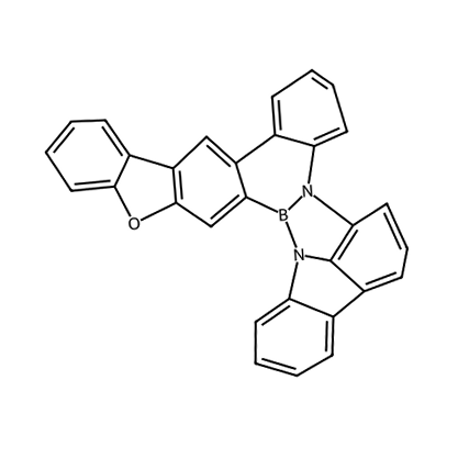 c1ccc2c(c1)-c1cc3c(cc1B1N2c2cccc4c5ccccc5n1c24)oc1ccccc13